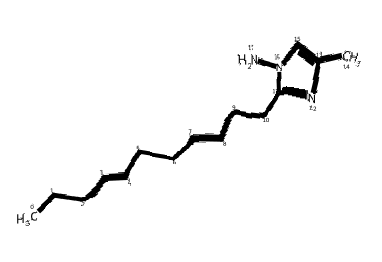 CCCCCCCCCCCc1nc(C)cn1N